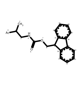 CC(=O)C(C)CNC(=O)OCC1c2ccccc2-c2ccccc21